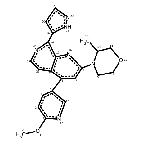 COc1ccc(-c2cc(N3CCOCC3C)nc3c(-c4ccn[nH]4)nccc23)cn1